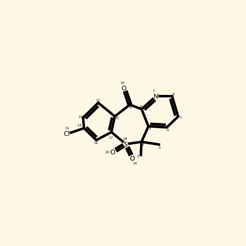 CC1(C)c2cccnc2C(=O)c2ccc(Cl)cc2S1(=O)=O